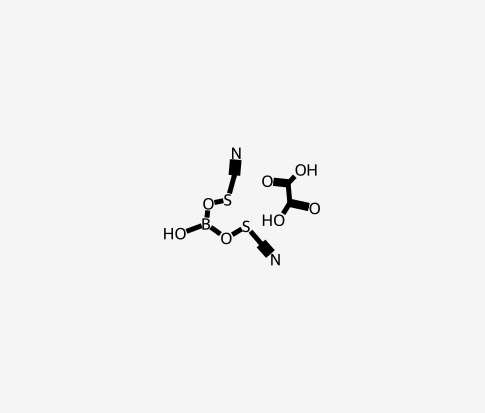 N#CSOB(O)OSC#N.O=C(O)C(=O)O